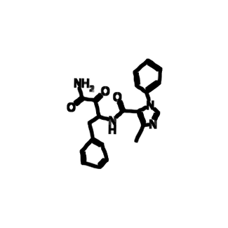 Cc1ncn(-c2ccccc2)c1C(=O)NC(Cc1ccccc1)C(=O)C(N)=O